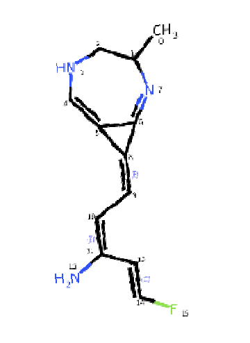 CC1CNC=C2C(=N1)/C2=C/C=C(N)\C=C\F